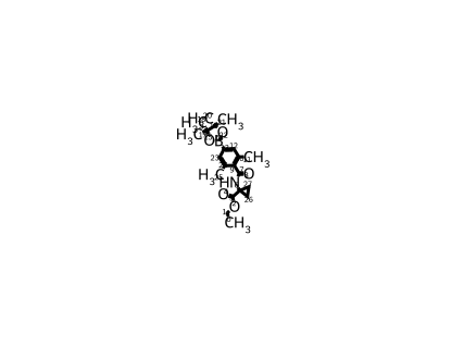 CCOC(=O)C1(NC(=O)c2c(C)cc(B3OC(C)(C)C(C)(C)O3)cc2C)CC1